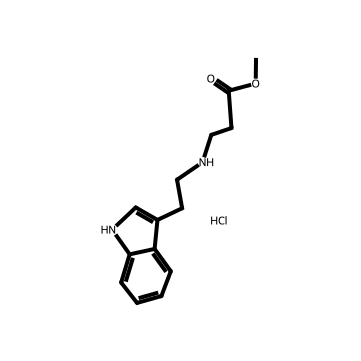 COC(=O)CCNCCc1c[nH]c2ccccc12.Cl